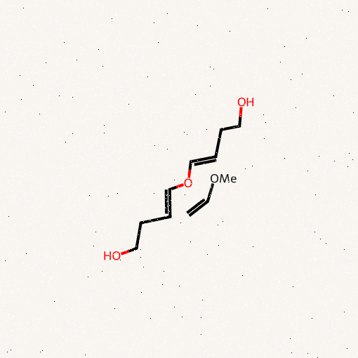 C=COC.OCCC=COC=CCCO